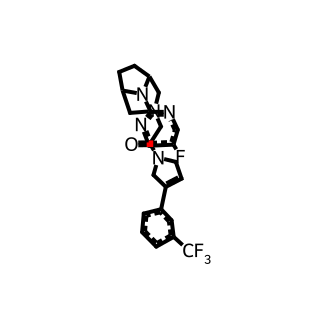 O=C(CN1CC2CCC(C1)N2c1ncc(F)cn1)N1CC=C(c2cccc(C(F)(F)F)c2)C1